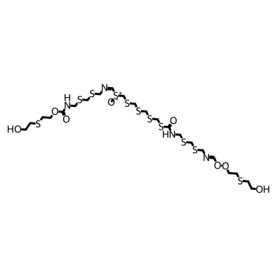 O=C(NCSCSC/N=C\[S+]([O-])CSCSCSCSC(=O)NCSCSC/N=C/OOCCSCCO)OCCSCCO